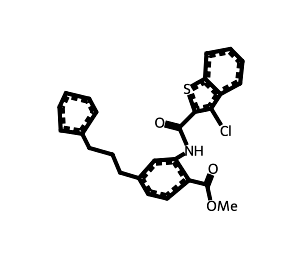 COC(=O)c1ccc(CCCc2ccccc2)cc1NC(=O)c1sc2ccccc2c1Cl